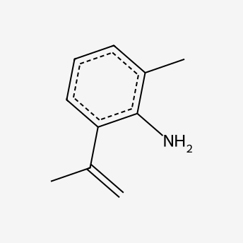 C=C(C)c1cccc(C)c1N